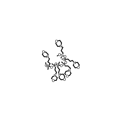 CO[Si](C)(CCCN1CCOCC1)O[Si](C)(CCCN1CCOCC1)O[Si](C)(CCCN1CCOCC1)O[Si](C)(CCCN1CCOCC1)O[Si](C)(CCCN1CCOCC1)O[Si](C)(CCCN1CCOCC1)OC